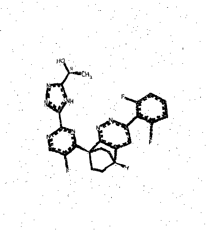 C[C@H](O)c1nnc(-c2ncc(F)c([C@]34CC[C@H](CC3)c3cc(-c5c(F)cccc5F)nnc34)n2)[nH]1